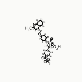 Cc1cc(COc2ccc(N(C[C@H](C(=O)O)N3CCN(S(C)(=O)=O)CC3)[SH](=O)=O)cc2)c2ccccc2n1